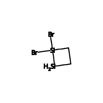 Br[Si]1(Br)CC[SiH2]1